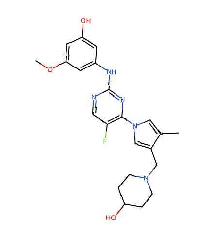 COc1cc(O)cc(Nc2ncc(F)c(-n3cc(C)c(CN4CCC(O)CC4)c3)n2)c1